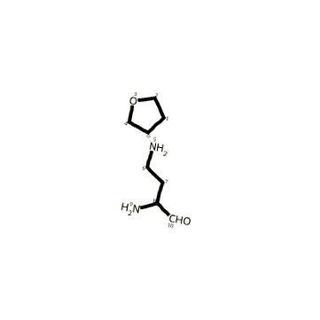 C1CCOC1.NCCC(N)C=O